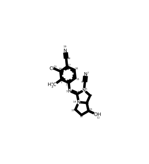 Cc1c(/N=C2\N(C#N)CC3C(O)CCN23)ccc(C#N)c1Cl